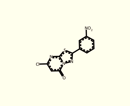 O=c1cc(Cl)nc2sc(-c3cccc([N+](=O)[O-])c3)nn12